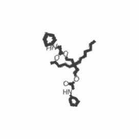 CCCCCCCC(CCCCC)(CCOC(=O)CNc1ccccc1)CCOC(=O)CNc1ccccc1